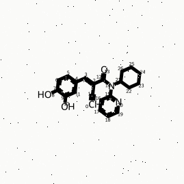 C#C/C(=C\c1ccc(O)c(O)c1)C(=O)N(c1ccccn1)C1CCCCC1